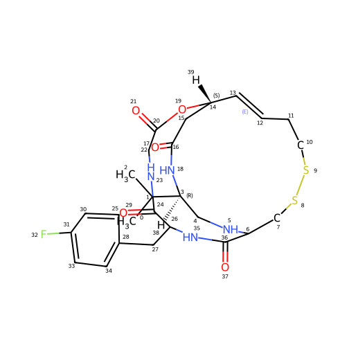 CC(C)[C@@H]1CNC2CSSCC/C=C/[C@H](CC(=O)N1)OC(=O)CNC(=O)C(Cc1ccc(F)cc1)NC2=O